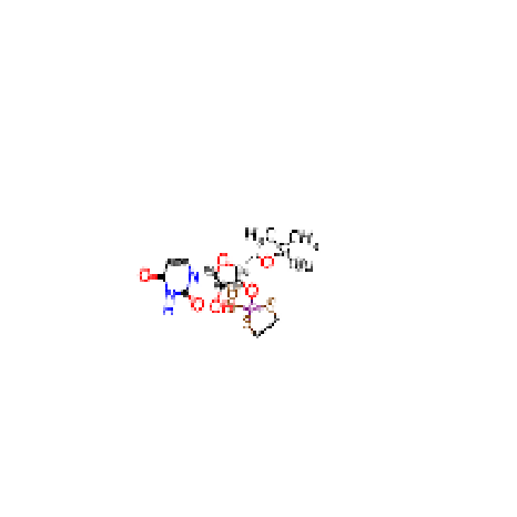 CC(C)(C)[Si](C)(C)OC[C@H]1O[C@@H](n2ccc(=O)[nH]c2=O)[C@H](O)[C@@H]1O[P]1(S)SCCS1